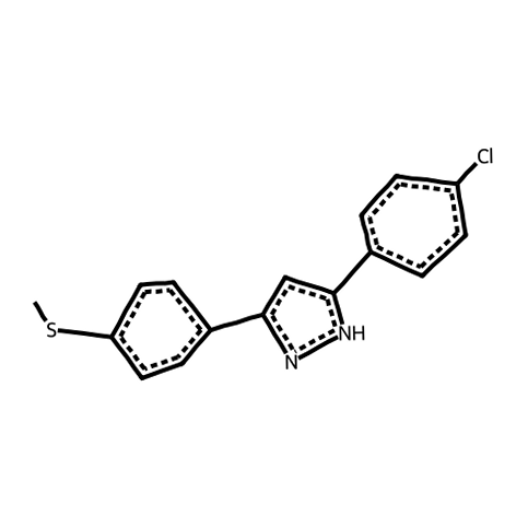 CSc1ccc(-c2cc(-c3ccc(Cl)cc3)[nH]n2)cc1